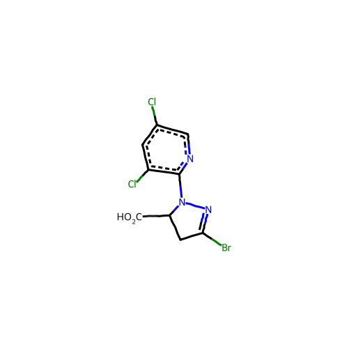 O=C(O)C1CC(Br)=NN1c1ncc(Cl)cc1Cl